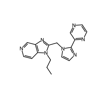 CCCn1c(Cn2ccnc2-c2cnccn2)nc2cnccc21